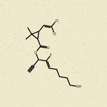 C#CC(OC(=O)C1C(C=C(Cl)Cl)C1(C)C)C(F)=CCCCCO